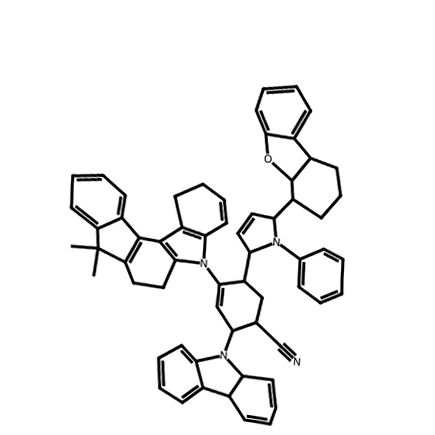 CC1(C)C2=C(c3ccccc31)c1c3c(n(C4=CC(N5c6ccccc6C6C=CC=CC65)C(C#N)CC4C4C=CC(C5CCCC6c7ccccc7OC65)N4c4ccccc4)c1CC2)C=CCC3